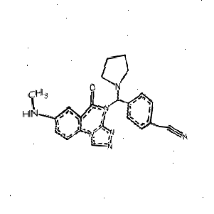 CNc1ccc2c(c1)c(=O)n(C(c1ccc(C#N)cc1)N1CCCC1)c1nncn21